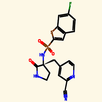 N#Cc1cc(C[C@]2(NS(=O)(=O)c3cc4ccc(F)cc4s3)CCNC2=O)ccn1